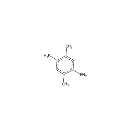 Cc1cc(P)c(C)cc1P